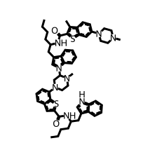 CCCCC(Cc1c[nH]c2ccccc12)NC(=O)c1cc2cccc(N3CCN(C)C(n4cc(CC(CCCC)NC(=O)c5sc6cc(N7CCN(C)CC7)ccc6c5C)c5ccccc54)C3)c2s1